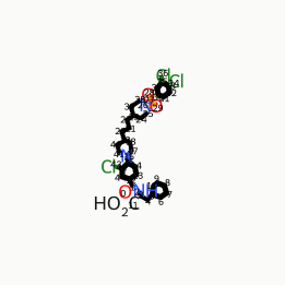 O=C(NC(Cc1ccccc1)C(=O)O)c1ccc(N2CCC(CCCC3CCN(S(=O)(=O)c4ccc(Cl)c(Cl)c4)CC3)CC2)c(Cl)c1